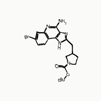 CC(C)(C)OC(=O)N1CCC(Cc2nc3c(N)nc4cc(Br)ccc4c3[nH]2)C1